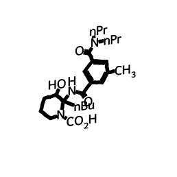 CCCCC1(NC(=O)c2cc(C)cc(C(=O)N(CCC)CCC)c2)C(O)CCCN1C(=O)O